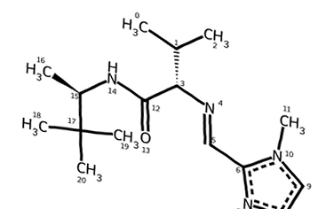 CC(C)[C@H](/N=C/c1nccn1C)C(=O)N[C@H](C)C(C)(C)C